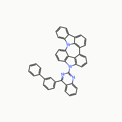 c1ccc(-c2cccc(-c3nc(-n4c5cccc6c7cccc8c9ccccc9n(c9cccc4c9c65)c78)nc4ccccc34)c2)cc1